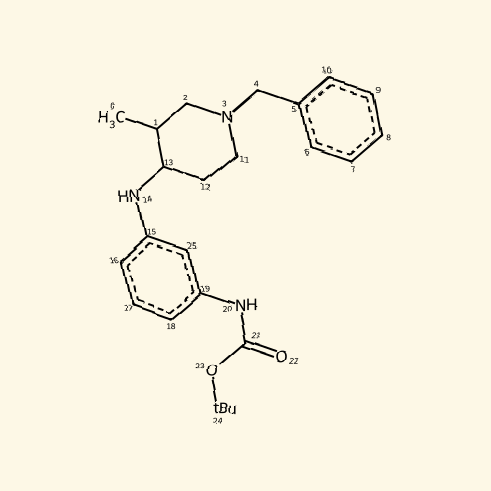 CC1CN(Cc2ccccc2)CCC1Nc1cccc(NC(=O)OC(C)(C)C)c1